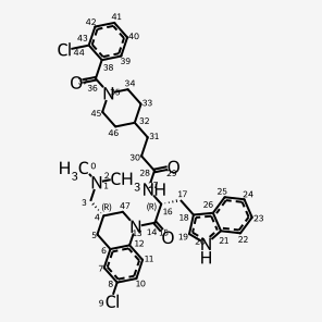 CN(C)C[C@H]1Cc2cc(Cl)ccc2N(C(=O)[C@@H](Cc2c[nH]c3ccccc23)NC(=O)CCC2CCN(C(=O)c3ccccc3Cl)CC2)C1